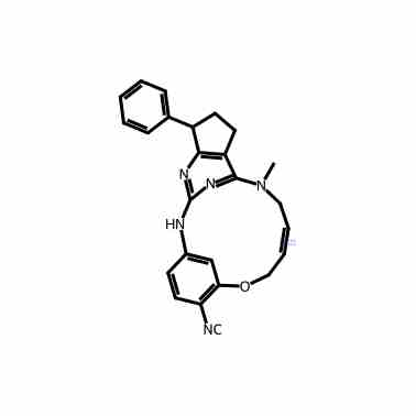 [C-]#[N+]c1ccc2cc1OC/C=C\CN(C)c1nc(nc3c1CCC3c1ccccc1)N2